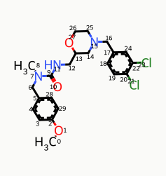 COc1ccc(CN(C)C(=O)NCC2CN(Cc3ccc(Cl)c(Cl)c3)CCO2)cc1